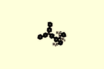 C/C(=N\c1ccccc1C)c1cc(-c2ccc(N(c3ccc(-c4ccccc4)cc3)c3ccc(-c4ccccc4)cc3)cc2)ccc1-c1ccccc1C